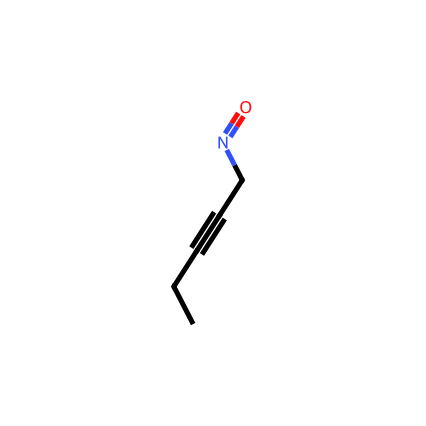 CCC#CCN=O